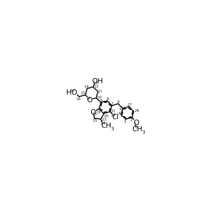 COc1ccc(Cc2cc(C3CC(O)CC(CO)O3)c3c(c2Cl)C(C)CO3)cc1